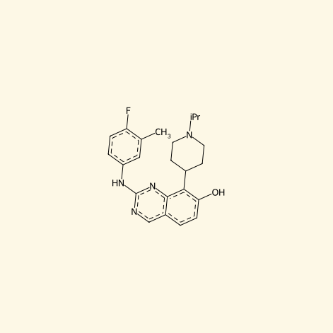 Cc1cc(Nc2ncc3ccc(O)c(C4CCN(C(C)C)CC4)c3n2)ccc1F